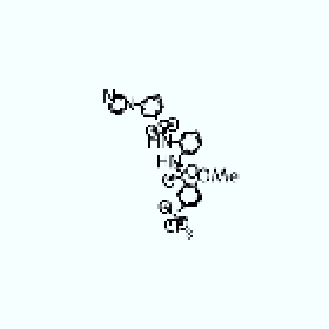 COc1ccc(S(=O)(=O)C(F)(F)F)cc1S(=O)(=O)Nc1ccccc1NS(=O)(=O)c1cccc(-n2ccnc2)c1